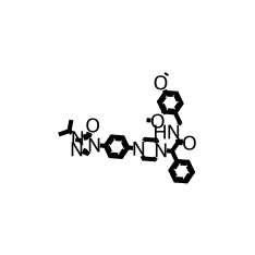 COc1ccc(CNC(=O)C(c2ccccc2)N2CCN(c3ccc(-n4cnn(C(C)C)c4=O)cc3)CC2)c(OC)c1